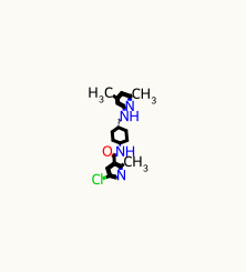 Cc1cc(C)nc(NC[C@H]2CC[C@H](NC(=O)c3cc(Cl)cnc3C)CC2)c1